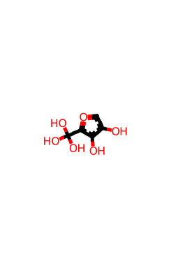 Oc1coc(C(O)(O)O)c1O